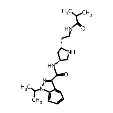 CC(C)C(=O)NCC[C@H]1C[C@H](NC(=O)c2nn(C(C)C)c3ccccc23)CN1